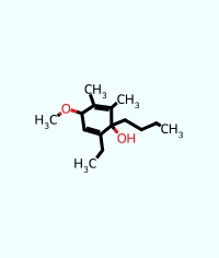 CCCCC1(O)C(CC)=CC(OC)C(C)=C1C